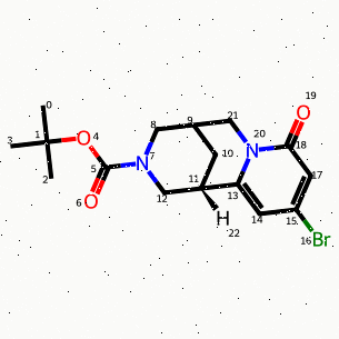 CC(C)(C)OC(=O)N1CC2C[C@@H](C1)c1cc(Br)cc(=O)n1C2